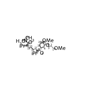 COCCCOc1cc(C(=O)[C@@H](CC=CC[C@H](C(=O)N(C)C)C(C)C)C(C)C)ccc1OC